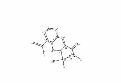 C=C(F)c1cccc2c1OC(C(F)(F)F)C(C(=O)OC)=C2